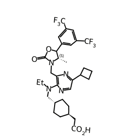 CCN(C[C@H]1CC[C@H](CC(=O)O)CC1)c1ncc(C2CCC2)nc1CN1C(=O)OC(c2cc(C(F)(F)F)cc(C(F)(F)F)c2)[C@@H]1C